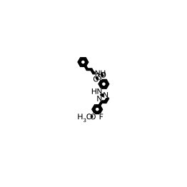 COc1ccc(-c2ccnc(Nc3cccc(S(=O)(=O)NCCCc4ccccc4)c3)n2)cc1F